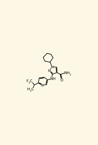 CC(c1ccc(Nc2nn(C3CCCCC3)cc2C(N)=O)cn1)C(F)(F)F